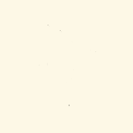 COc1cc(C=CC(=O)N[C@H]2CC[C@H](C)CC2)ccc1OCCN1CCN(C)CC1.Cl.Cl